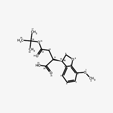 COc1cccc2c1OC[C@@H]2C(CC(=O)OC(C)(C)C)C(=O)O